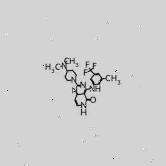 Cc1cc(Nc2nc(N3CCC(N(C)C)CC3)nc3cc[nH]c(=O)c23)cc(C(F)(F)F)c1